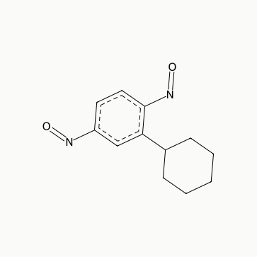 O=Nc1ccc(N=O)c(C2CCCCC2)c1